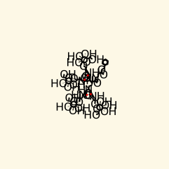 O=C(CN(CC[C@H](C(=O)NCCC(=O)OCc1ccccc1)N(CC(=O)NCCO[C@H]1O[C@H](CO)[C@@H](O)[C@H](O)[C@@H]1O)CC(=O)NCCO[C@H]1O[C@H](CO)[C@@H](O)[C@H](O)[C@@H]1O)CC(=O)NCCO[C@H]1O[C@H](CO)[C@@H](O)[C@H](O)[C@@H]1O)NCCO[C@H]1O[C@H](CO)[C@@H](O)[C@H](O)[C@@H]1O